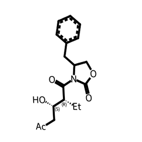 CC[C@@H](C(=O)N1C(=O)OCC1Cc1ccccc1)[C@@H](O)CC(C)=O